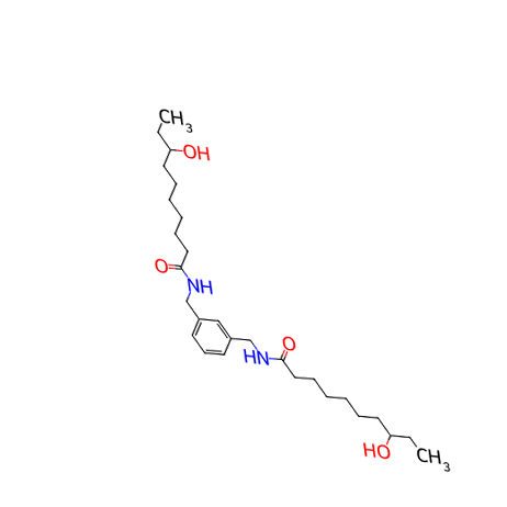 CCC(O)CCCCCCC(=O)NCc1cccc(CNC(=O)CCCCCCC(O)CC)c1